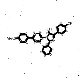 COc1ccc(-c2ccc(N3C(C)C(c4ccc(Cl)cc4)=NC3c3ccccc3)cc2)cc1